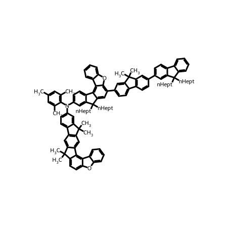 CCCCCCCC1(CCCCCCC)c2ccccc2-c2ccc(-c3ccc4c(c3)C(C)(C)c3cc(-c5cc6c(c7c5oc5ccccc57)-c5ccc(N(c7ccc8c(c7)C(C)(C)c7cc9c(cc7-8)C(C)(C)c7ccc8oc%10ccccc%10c8c7-9)c7c(C)cc(C)cc7C)cc5C6(CCCCCCC)CCCCCCC)ccc3-4)cc21